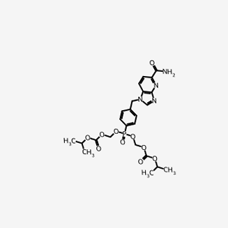 CC(C)OC(=O)OCOP(=O)(OCOC(=O)OC(C)C)c1ccc(Cn2cnc3nc(C(N)=O)ccc32)cc1